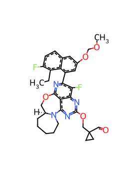 CCc1c(F)ccc2cc(OCOC)cc(-c3nc4c5c(nc(OCC6(C=O)CC6)nc5c3F)N3CCCCC[C@H]3CO4)c12